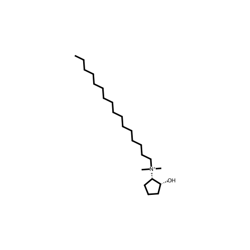 CCCCCCCCCCCCCCCC[N+](C)(C)[C@H]1CCC[C@H]1O